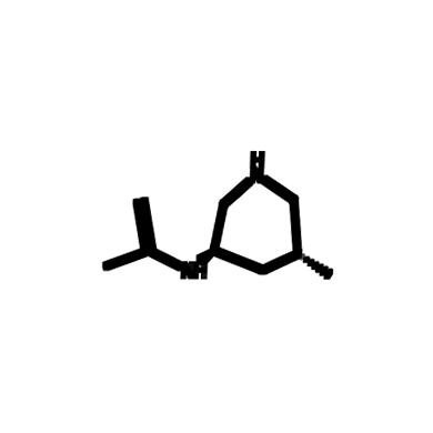 C=C(C)N[C@H]1CNC[C@H](C)C1